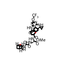 COC(=O)[C@H](CNC(=O)C(=O)N[C@H]1C[C@@H]2C[C@@H]([C@@H]1C)C2(C)C)NC(=O)c1ccc(Nc2nc(NC3(c4ccc(Cl)cc4)CC3)nc(OCC(F)(F)F)n2)cc1